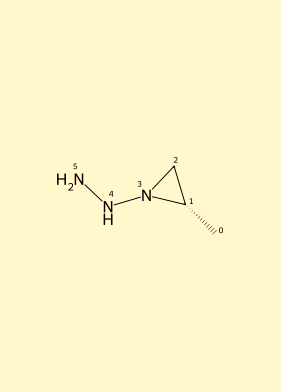 C[C@H]1CN1NN